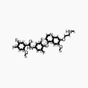 CNCCOc1cc2nccc(Oc3c(F)cc(NC(=O)c4cc(F)c(F)cc4OC)cc3F)c2cc1OC